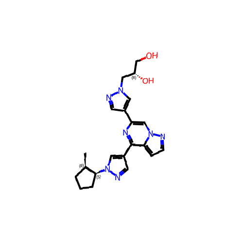 C[C@@H]1CCC[C@@H]1n1cc(-c2nc(-c3cnn(C[C@@H](O)CO)c3)cn3nccc23)cn1